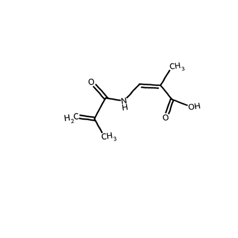 C=C(C)C(=O)NC=C(C)C(=O)O